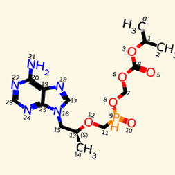 CC(C)OC(=O)OCO[PH](=O)CO[C@@H](C)Cn1cnc2c(N)ncnc21